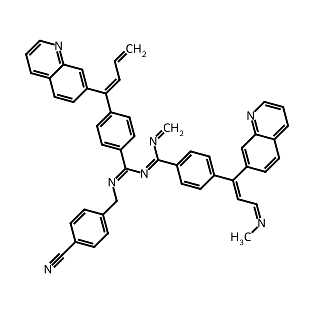 C=C/C=C(/c1ccc(C(/N=C(\N=C)c2ccc(/C(=C/C=N\C)c3ccc4cccnc4c3)cc2)=N/Cc2ccc(C#N)cc2)cc1)c1ccc2cccnc2c1